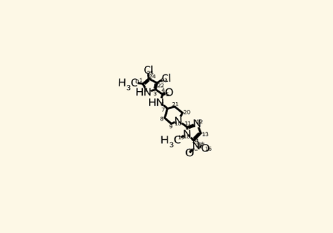 Cc1[nH]c(C(=O)NC2CCN(c3ncc([N+](=O)[O-])n3C)CC2)c(Cl)c1Cl